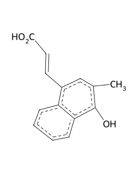 Cc1cc(C=CC(=O)O)c2ccccc2c1O